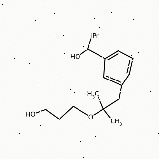 CC(C)C(O)c1cccc(CC(C)(C)OCCCO)c1